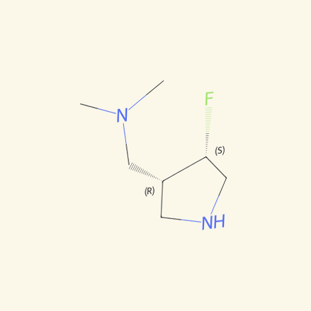 CN(C)C[C@H]1CNC[C@H]1F